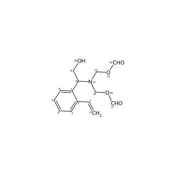 C=Cc1ccccc1C(CO)N(COC=O)COC=O